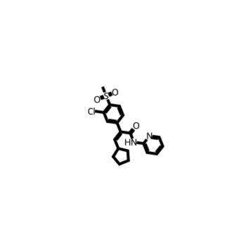 CS(=O)(=O)c1ccc(C(=CC2CCCC2)C(=O)Nc2ccccn2)cc1Cl